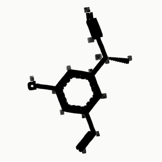 C=Cc1cc(Cl)cc([C@@H](C)C#N)c1